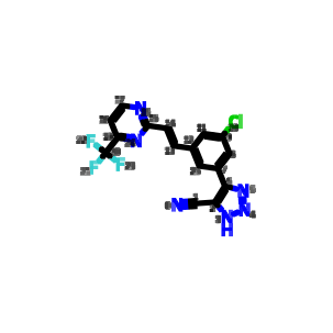 N#Cc1[nH]nnc1-c1cc(Cl)cc(/C=C/c2nccc(C(F)(F)F)n2)c1